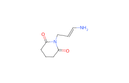 NC=CCN1C(=O)CCCC1=O